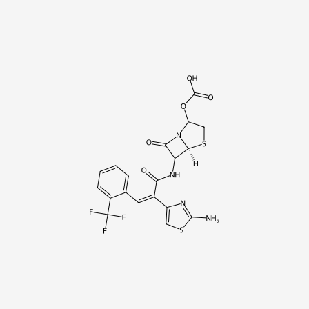 Nc1nc(/C(=C/c2ccccc2C(F)(F)F)C(=O)NC2C(=O)N3C(OC(=O)O)CS[C@@H]23)cs1